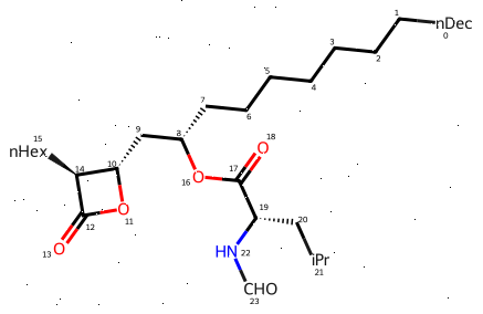 CCCCCCCCCCCCCCCCC[C@@H](C[C@@H]1OC(=O)[C@H]1CCCCCC)OC(=O)[C@H](CC(C)C)NC=O